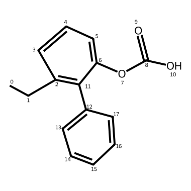 CCc1cccc(OC(=O)O)c1-c1ccccc1